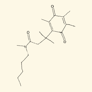 CCCCCN(C)C(=O)CC(C)(C)C1=C(C)C(=O)C(C)=C(C)C1=O